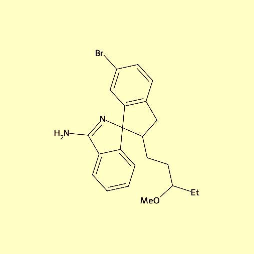 CCC(CCC1Cc2ccc(Br)cc2C12N=C(N)c1ccccc12)OC